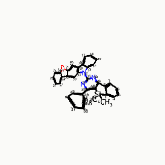 C[Si]1(C)c2ccccc2-c2nc(-n3c4ccccc4c4cc5oc6ccccc6c5cc43)nc(-c3ccccc3)c21